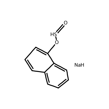 O=[SH]Oc1cccc2ccccc12.[NaH]